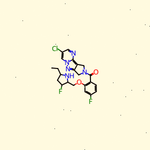 CCC1CC(F)C(COc2cc(F)ccc2C(=O)N2Cc3nn4cc(Cl)cnc4c3C2)N1